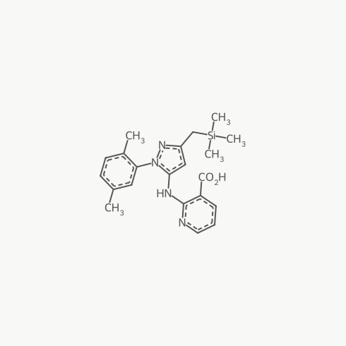 Cc1ccc(C)c(-n2nc(C[Si](C)(C)C)cc2Nc2ncccc2C(=O)O)c1